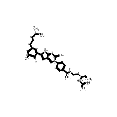 C=C[C@H](CCN[C@@H](C)c1ccc(-n2cc3cc(-c4cc(CCC[C@H](C)N)cc(Cl)c4F)[nH]c3nc2=O)cc1)NC(=N)N